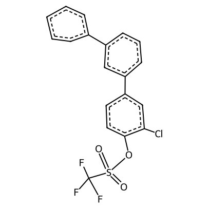 O=S(=O)(Oc1ccc(-c2cccc(-c3ccccc3)c2)cc1Cl)C(F)(F)F